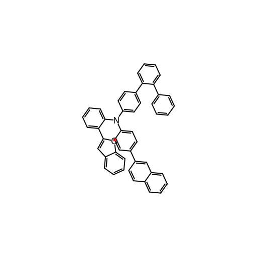 c1ccc(-c2ccccc2-c2ccc(N(c3ccc(-c4ccc5ccccc5c4)cc3)c3ccccc3-c3cc4ccccc4o3)cc2)cc1